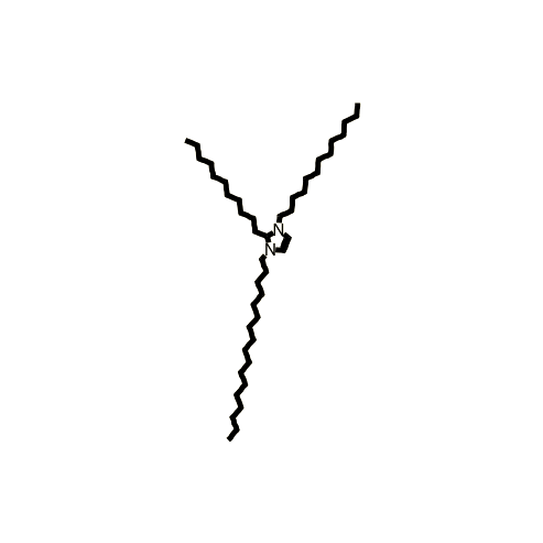 CCCCCCCCCCCCCCCCCN1C=CN(CCCCCCCCCCCCC)C1CCCCCCCCCCC